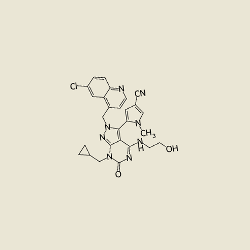 Cn1cc(C#N)cc1-c1c2c(NCCO)nc(=O)n(CC3CC3)c2nn1Cc1ccnc2ccc(Cl)cc12